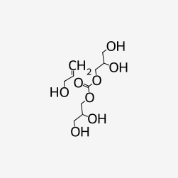 C=CCO.O=C(OCC(O)CO)OCC(O)CO